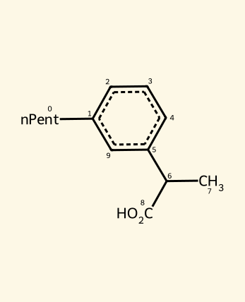 CCCCCc1cccc(C(C)C(=O)O)c1